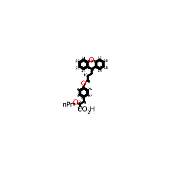 CCCOC(Cc1ccc(OCCCC2c3ccccc3Oc3ccccc32)cc1)C(=O)O